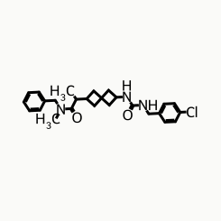 CC(C(=O)N(C)Cc1ccccc1)C1CC2(CC(NC(=O)NCc3ccc(Cl)cc3)C2)C1